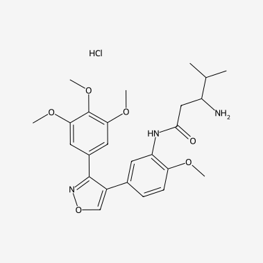 COc1ccc(-c2conc2-c2cc(OC)c(OC)c(OC)c2)cc1NC(=O)CC(N)C(C)C.Cl